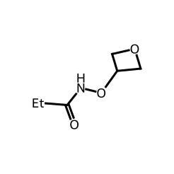 CCC(=O)NOC1COC1